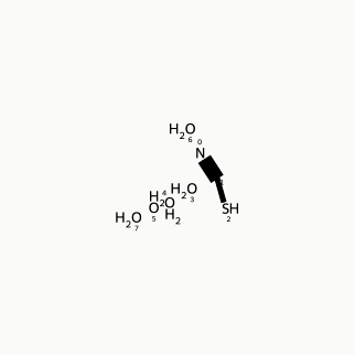 N#CS.O.O.O.O.O